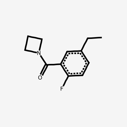 CCc1ccc(F)c(C(=O)N2CCC2)c1